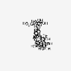 C=C1C[C@@]23CC[C@H]4[C@@](C)(CCC[C@@]4(C)C(=O)O[C@@H]4OC(CO)[C@@H](O)C(O)[C@@H]4OC(=O)CC(=O)O)[C@@H]2CC[C@]1(O[C@@H]1O[C@H](CO)C(O)C(OC2O[C@H](CO)C(O)C(O)[C@H]2O)[C@H]1O[C@@H]1OC(CO)[C@@H](O)C(O)C1O)C3